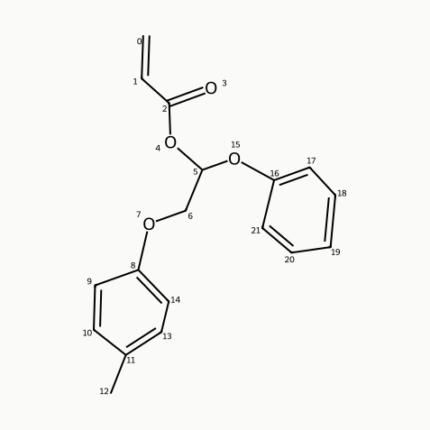 C=CC(=O)OC(COc1ccc(C)cc1)Oc1ccccc1